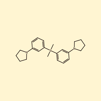 C[Si](C)(c1cccc(N2CCCC2)c1)c1cccc(N2CCCC2)c1